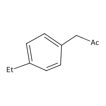 [CH2]C(=O)Cc1ccc(CC)cc1